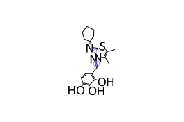 Cc1s/c(=N\C2CCCCC2)n(/N=C/c2ccc(O)c(O)c2O)c1C